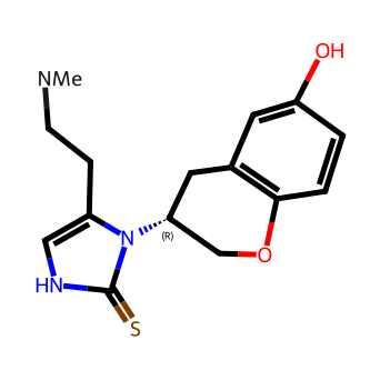 CNCCc1c[nH]c(=S)n1[C@H]1COc2ccc(O)cc2C1